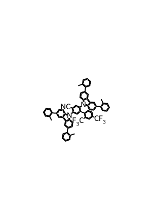 Cc1ccccc1-c1ccc2c(c1)c1cc(-c3ccccc3C)ccc1n2-c1cc(-c2ccc(C(F)(F)F)cc2C(F)(F)F)c(-n2c3ccc(-c4ccccc4C)cc3c3cc(-c4ccccc4C)ccc32)cc1C#N